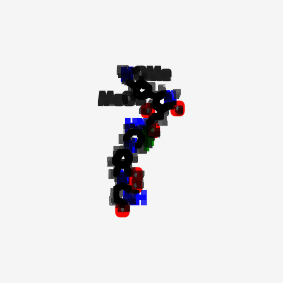 COc1cc(-c2cn(C)c(=O)c3cc(C(=O)NC4CCN(c5ccc6c(c5)C(=O)N(C5CCC(=O)NC5=O)C6)CC4(F)F)oc23)cc(OC)c1CN(C)C